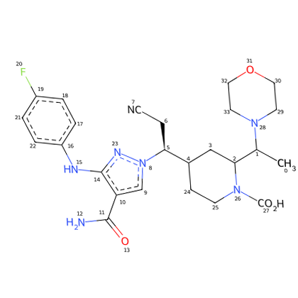 CC(C1CC([C@H](CC#N)n2cc(C(N)=O)c(Nc3ccc(F)cc3)n2)CCN1C(=O)O)N1CCOCC1